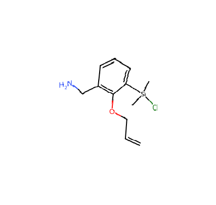 C=CCOc1c(CN)cccc1[Si](C)(C)Cl